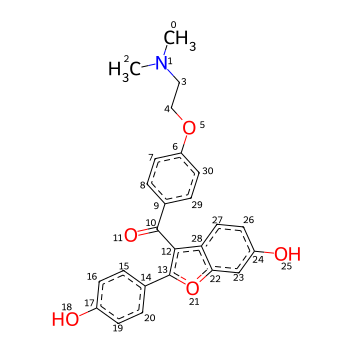 CN(C)CCOc1ccc(C(=O)c2c(-c3ccc(O)cc3)oc3cc(O)ccc23)cc1